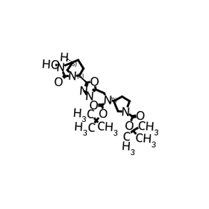 CC(C)(C)OC(=O)N1CC[C@@H](N(Cc2nnc([C@@H]3CC[C@H]4CN3C(=O)N4O)o2)C(=O)OC(C)(C)C)C1